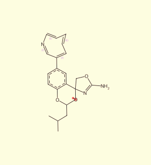 CC(C)CC1Oc2ccc(C3=C/C=C/C=C/N=C\3)cc2C2(COC(N)=N2)C12COC2